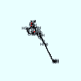 CCCC[C@H](NC(=O)[C@H](CCC1CN(CC(O)O)CC(O)O1)NC(=O)[C@H](CO)NC(=O)[C@H](CCC(N)=O)NC(=O)[C@H](CO)NC(=O)CNC(=O)COCCOCCNC(=O)CCCCCCCCCCCCCCCC1=NNNN1)C(=O)NC